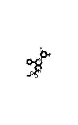 CCOC(=O)c1cc2c(cn1)CN(c1cc(F)cc(F)c1)CC2C1CCCC1